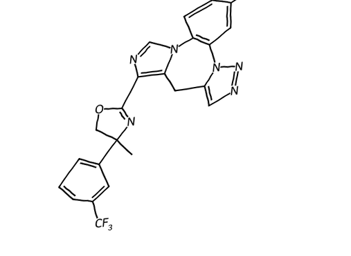 COc1ccc2c(c1)-n1nncc1Cc1c(C3=NC(C)(c4cccc(C(F)(F)F)c4)CO3)ncn1-2